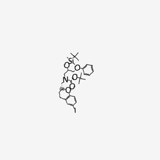 CC(C)(C)OC(=O)N(CC(COc1ccccc1)O[Si](C)(C)C(C)(C)C)C[C@H]1CCc2cc(I)ccc2O1